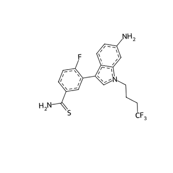 NC(=S)c1ccc(F)c(-c2cn(CCCC(F)(F)F)c3cc(N)ccc23)c1